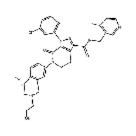 Cc1ccncc1CNC(=O)c1nn(-c2cccc(Cl)c2)c2c1CCN(c1ccc3c(c1)CN(CCO)C[C@@H]3C)C2=O